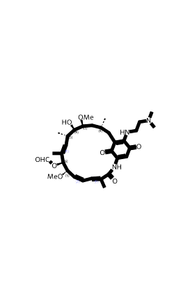 CO[C@H]1/C=C\C=C(/C)C(=O)NC2=CC(=O)C(NCCN(C)C)=C(C[C@@H](C)C[C@H](OC)[C@H](O)[C@@H](C)/C=C(\C)[C@@H]1OC=O)C2=O